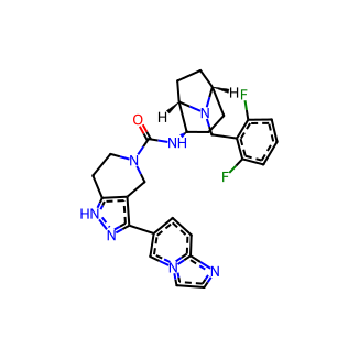 O=C(N[C@@H]1CC[C@H]2CC[C@@H]1N2Cc1c(F)cccc1F)N1CCc2[nH]nc(-c3ccc4nccn4c3)c2C1